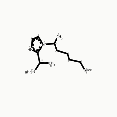 CCCCCCCCCCCCCCC(C)[n+]1cc[nH]c1C(C)CCCCCCC